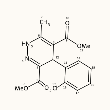 COC(=O)C1=NNC(C)=C(C(=O)OC)C1c1ccccc1Cl